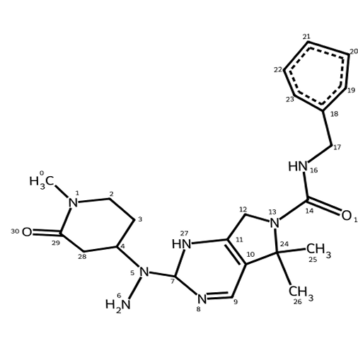 CN1CCC(N(N)C2N=CC3=C(CN(C(=O)NCc4ccccc4)C3(C)C)N2)CC1=O